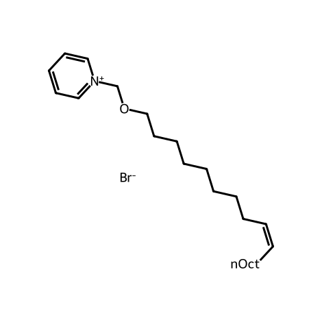 CCCCCCCC/C=C\CCCCCCCCOC[n+]1ccccc1.[Br-]